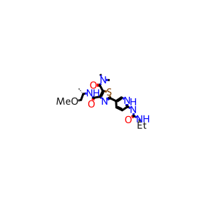 CCNC(=O)Nc1ccc(-c2nc(C(=O)N[C@@H](C)COC)c(C(=O)N(C)C)s2)cn1